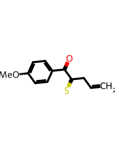 C=CCC(=S)C(=O)c1ccc(OC)cc1